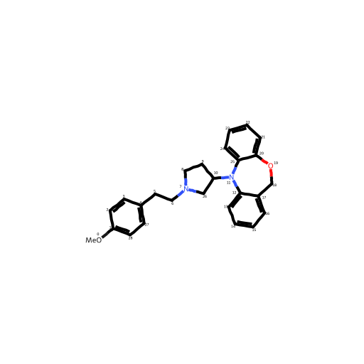 COc1ccc(CCN2CCC(N3c4ccccc4COc4ccccc43)C2)cc1